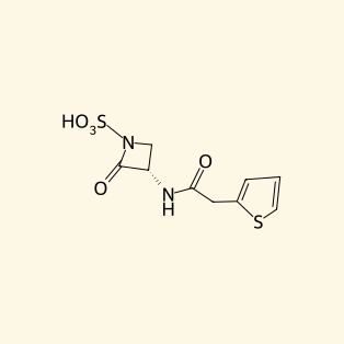 O=C(Cc1cccs1)N[C@H]1CN(S(=O)(=O)O)C1=O